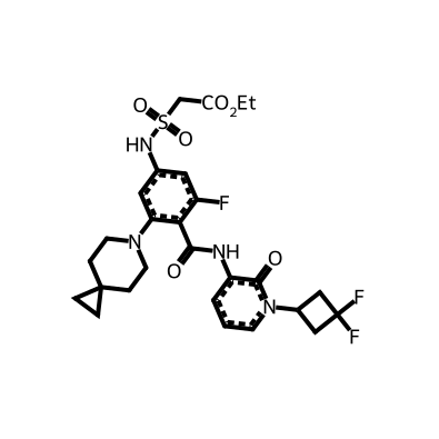 CCOC(=O)CS(=O)(=O)Nc1cc(F)c(C(=O)Nc2cccn(C3CC(F)(F)C3)c2=O)c(N2CCC3(CC2)CC3)c1